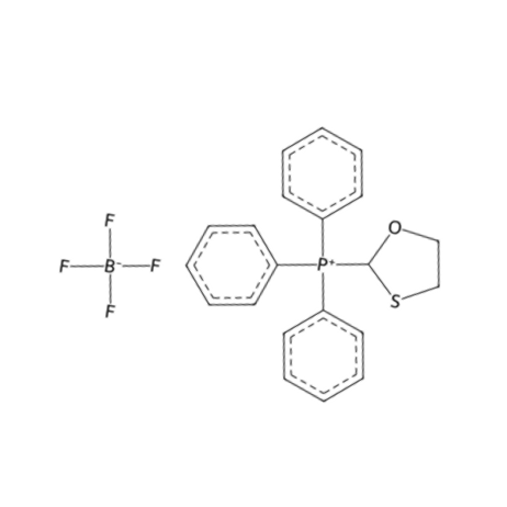 F[B-](F)(F)F.c1ccc([P+](c2ccccc2)(c2ccccc2)C2OCCS2)cc1